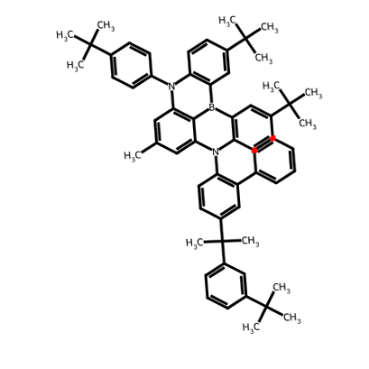 Cc1cc2c3c(c1)N(c1ccc(C(C)(C)c4cccc(C(C)(C)C)c4)cc1-c1ccccc1)c1ccc(C(C)(C)C)cc1B3c1cc(C(C)(C)C)ccc1N2c1ccc(C(C)(C)C)cc1